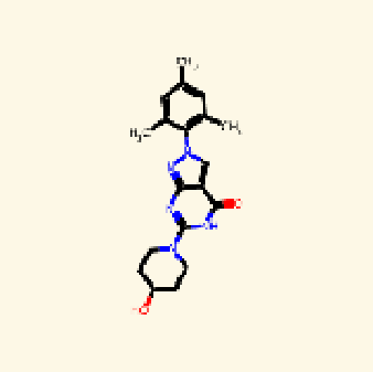 Cc1cc(C)c(-n2cc3c(=O)[nH]c(N4CCC(O)CC4)nc3n2)c(C)c1